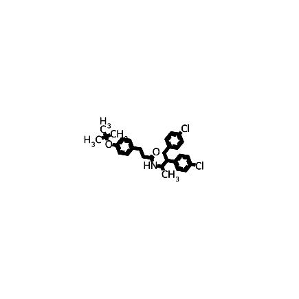 CC(NC(=O)CCc1ccc(OC(C)(C)C)cc1)C(Cc1ccc(Cl)cc1)c1ccc(Cl)cc1